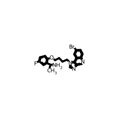 CC(N)c1cc(F)ccc1OCCCCn1cnc2cnc3ccc(Br)cc3c21